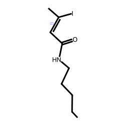 CCCCCNC(=O)/C=C(/C)I